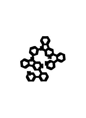 c1cncc(-c2ccccc2-c2cc3c4ccccc4n(-c4cccc(-n5c6ccccc6c6cc(-c7ccccc7-c7cccnc7)ncc65)c4)c3cn2)c1